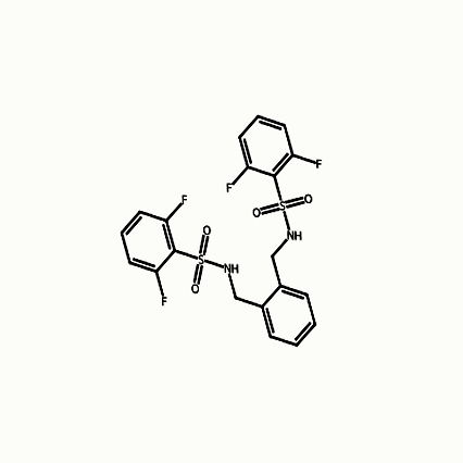 O=S(=O)(NCc1ccccc1CNS(=O)(=O)c1c(F)cccc1F)c1c(F)cccc1F